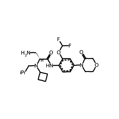 CC(C)CN(C1CCC1)[C@H](CN)C(=O)Nc1ccc(N2CCOCC2=O)cc1OC(F)F